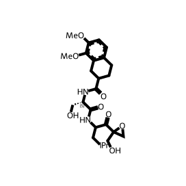 COc1ccc2c(c1OC)CC(C(=O)N[C@@H](CO)C(=O)NC(CC(C)C)C(=O)C1(CO)CO1)CC2